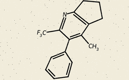 Cc1c2c(nc(C(F)(F)F)c1-c1ccccc1)CCC2